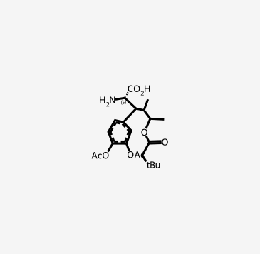 CC(=O)Oc1ccc(C(C(C)C(C)OC(=O)CC(C)(C)C)[C@H](N)C(=O)O)cc1OC(C)=O